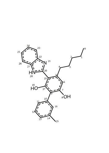 CCCCCc1cc(O)c(-c2cccc(C)c2)c(O)c1-c1nc2ccccc2[nH]1